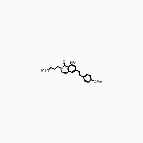 Br.CNCCCn1ncc2cc(C=Cc3ccc(OC)cc3)ccc2c1=O